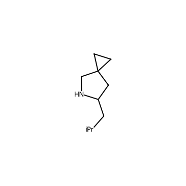 CC(C)CC1CC2(CC2)CN1